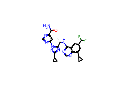 C[C@H](Nc1ncnc2c(C3CC3)cc(C(F)F)cc12)c1nc(C2CC2)nn1-c1cc(C(N)=O)ncn1